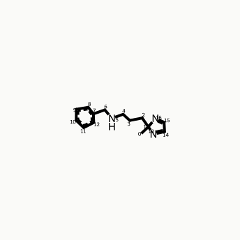 CC1(CCCNCc2ccccc2)N=CC=N1